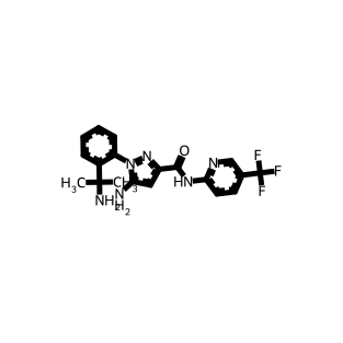 CC(C)(N)c1ccccc1-n1nc(C(=O)Nc2ccc(C(F)(F)F)cn2)cc1N